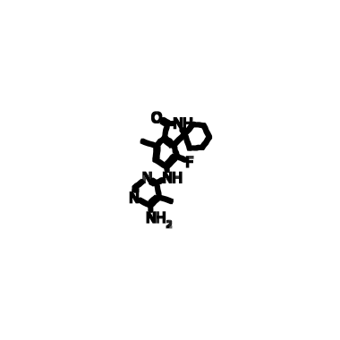 Cc1cc(Nc2ncnc(N)c2C)c(F)c2c1C(=O)NC21CCCCC1